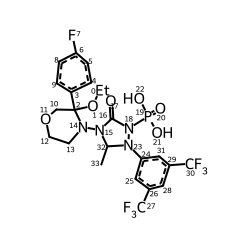 CCOC1(c2ccc(F)cc2)COCCN1N1C(=O)N(P(=O)(O)O)N(c2cc(C(F)(F)F)cc(C(F)(F)F)c2)C1C